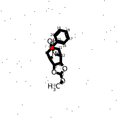 COC1OC2C(O1)C1CC(O)CC2N1Cc1ccccc1